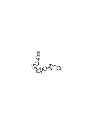 COc1cc(N2CCNCC2)ccc1Nc1ncnc(N2CCN(c3ncc(Cc4ccccc4)cn3)CC2)n1